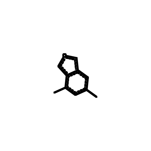 Cc1cc(C)c2cocc2c1